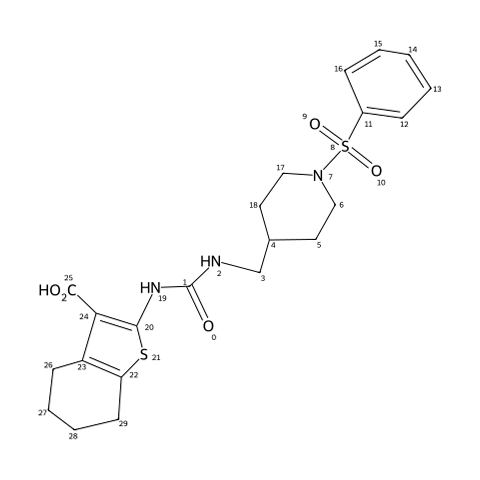 O=C(NCC1CCN(S(=O)(=O)c2ccccc2)CC1)Nc1sc2c(c1C(=O)O)CCCC2